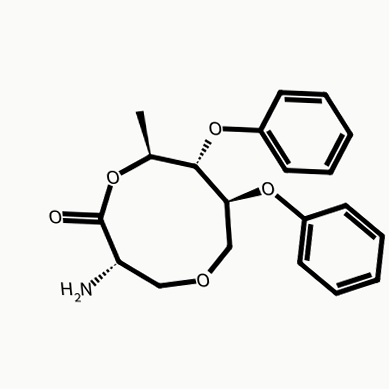 C[C@@H]1OC(=O)[C@@H](N)COC[C@H](Oc2ccccc2)[C@H]1Oc1ccccc1